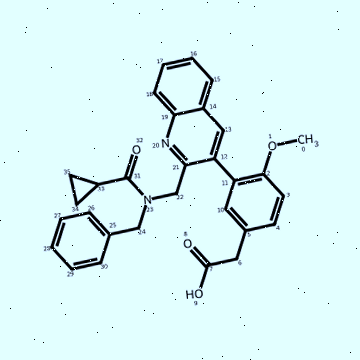 COc1ccc(CC(=O)O)cc1-c1cc2ccccc2nc1CN(Cc1ccccc1)C(=O)C1CC1